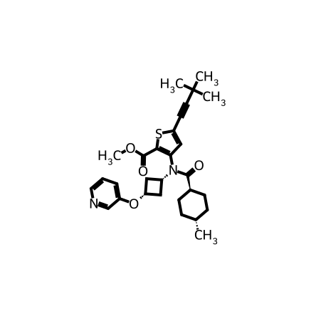 COC(=O)c1sc(C#CC(C)(C)C)cc1N(C(=O)[C@H]1CC[C@H](C)CC1)[C@H]1C[C@@H](Oc2cccnc2)C1